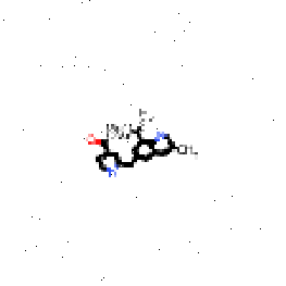 C=C(OC)c1cc(Cc2cc(C(=O)OC)ccn2)cc2cc(C)cnc12